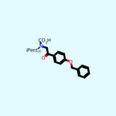 CCC[C@H](C)N(CC(=O)c1ccc(OCc2ccccc2)cc1)C(=O)O